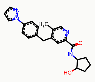 Cc1cnc(C(=O)NC2CCCC2O)cc1Cc1ccc(-n2cccn2)cc1